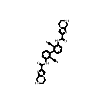 N#Cc1c(NC(=O)c2cn3c(n2)CNCC3)cccc1-c1cccc(NC(=O)c2cn3c(n2)CNCC3)c1C#N